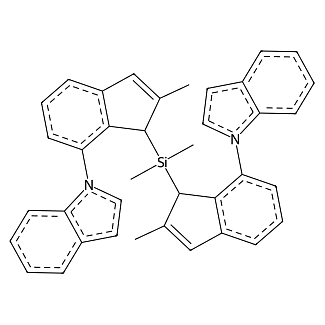 CC1=Cc2cccc(-n3ccc4ccccc43)c2C1[Si](C)(C)C1C(C)=Cc2cccc(-n3ccc4ccccc43)c21